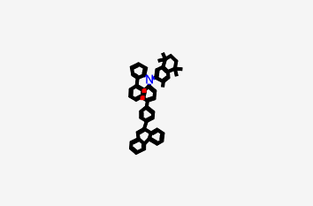 Cc1cc2c(cc1N(c1ccc(-c3ccc(-c4cc5ccccc5c5ccccc45)cc3)cc1)c1ccccc1-c1ccccc1)C(C)(C)CCC2(C)C